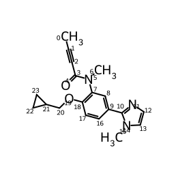 CC#CC(=O)N(C)c1cc(-c2nccn2C)ccc1OCC1CC1